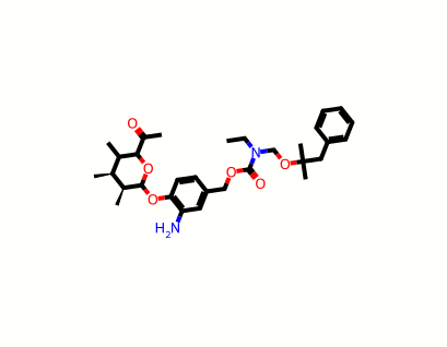 CCN(COC(C)(C)Cc1ccccc1)C(=O)OCc1ccc(OC2OC(C(C)=O)C(C)[C@H](C)[C@@H]2C)c(N)c1